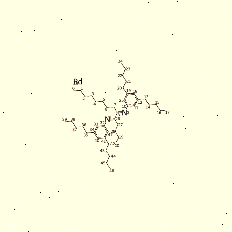 CCCCCCCCC(=N\c1cc(CCCCC)cc(CCCCC)c1)/C(CCCC)=N/c1cc(CCCCC)cc(CCCCC)c1.[Pd]